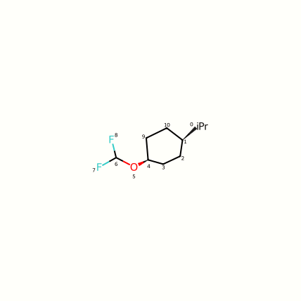 CC(C)[C@H]1CC[C@@H](OC(F)F)CC1